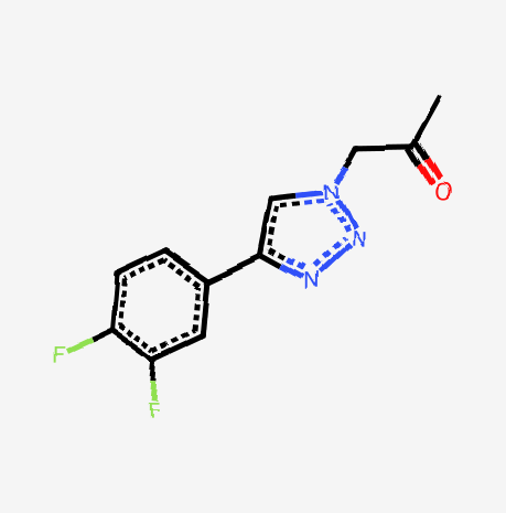 CC(=O)Cn1cc(-c2ccc(F)c(F)c2)nn1